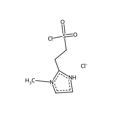 C[n+]1cc[nH]c1CCS(=O)(=O)Cl.[Cl-]